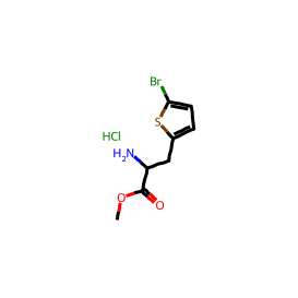 COC(=O)C(N)Cc1ccc(Br)s1.Cl